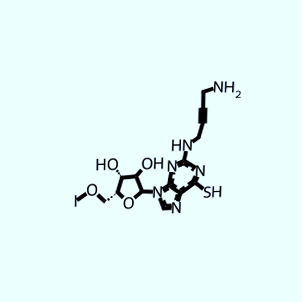 NCC#CCNc1nc(S)c2ncn(C3O[C@H](COI)[C@H](O)C3O)c2n1